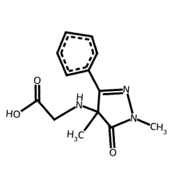 CN1N=C(c2ccccc2)C(C)(NCC(=O)O)C1=O